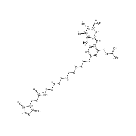 CC(C)C(=O)OCc1cc(CCCOCCOCCOCCNC(=O)CCN2C(=O)C=CC2=O)ccc1O[C@@H]1O[C@H](C(=O)O)[C@@H](O)[C@H](O)[C@H]1O